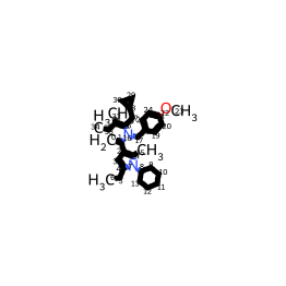 C=C(c1cc(CC)n(C2CCCCC2)c1C)N(Cc1ccc(OC)cc1)/C(CC1CC1)=C(/C)CC